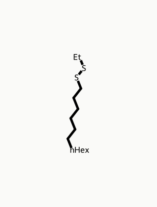 CCCCCCCCCCCCSSCC